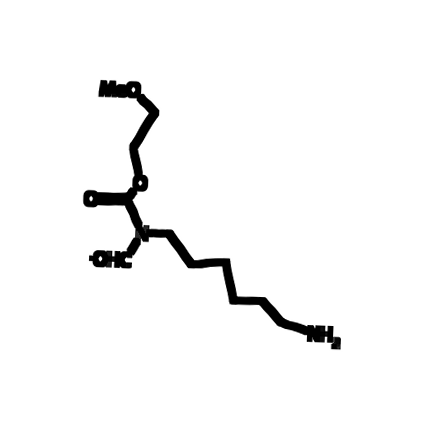 COCCOC(=O)N([C]=O)CCCCCCN